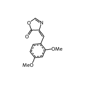 COc1ccc(C=C2N=COC2=O)c(OC)c1